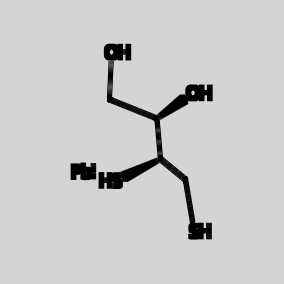 OC[C@@H](O)[C@H](S)CS.[Pb]